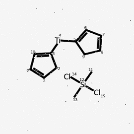 C1=CC[C]([Ti][C]2=CC=CC2)=C1.C[Si](C)(Cl)Cl